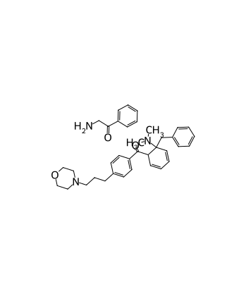 CN(C)C1(Cc2ccccc2)C=CC=CC1C(=O)c1ccc(CCCN2CCOCC2)cc1.NCC(=O)c1ccccc1